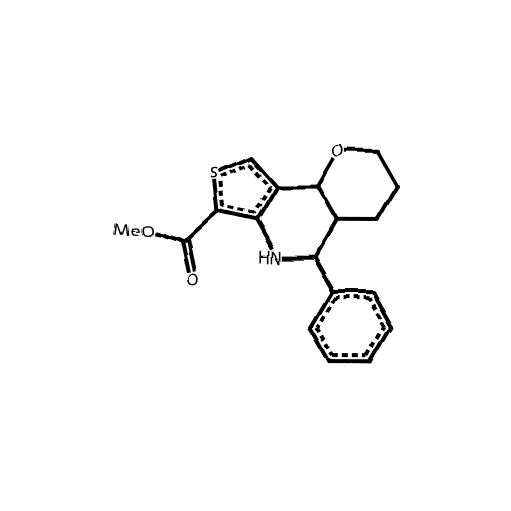 COC(=O)c1scc2c1NC(c1ccccc1)C1CCCOC21